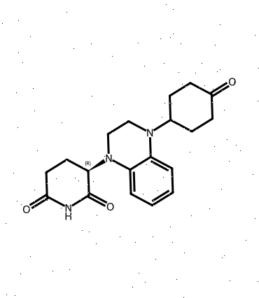 O=C1CCC(N2CCN([C@@H]3CCC(=O)NC3=O)c3ccccc32)CC1